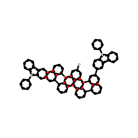 Clc1cc(N(c2cccc(-c3ccc4c(c3)c3ccccc3n4-c3ccccc3)c2)c2c(-c3ccccc3)cccc2-c2ccccc2)cc(N(c2cccc(-c3ccc4c(c3)c3ccccc3n4-c3ccccc3)c2)c2c(-c3ccccc3)cccc2-c2ccccc2)c1